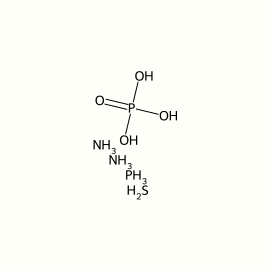 N.N.O=P(O)(O)O.P.S